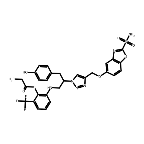 CCC(=O)Oc1c(NCC(Cc2ccc(O)cc2)n2cc(COc3ccc4sc(S(N)(=O)=O)nc4c3)nn2)cccc1C(F)(F)F